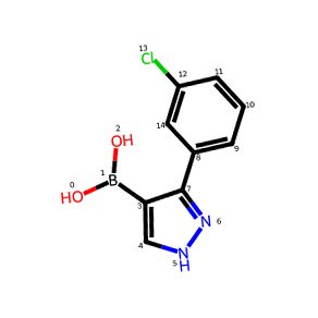 OB(O)c1c[nH]nc1-c1cccc(Cl)c1